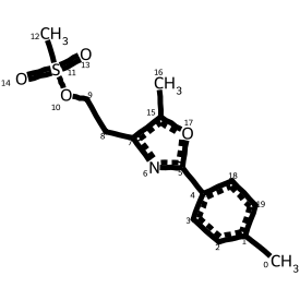 Cc1ccc(-c2nc(CCOS(C)(=O)=O)c(C)o2)cc1